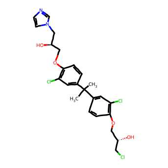 CC(C)(c1ccc(OC[C@H](O)CCl)c(Cl)c1)c1ccc(OC[C@@H](O)Cn2ccnc2)c(Cl)c1